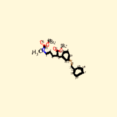 CN(CCCC(Cc1cccc(SCc2ccccc2)c1)C(=O)OC(C)(C)C)C(=O)OC(C)(C)C